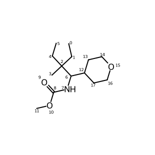 CCC(C)(CC)C(NC(=O)OC)C1CCOCC1